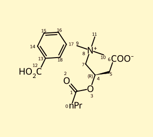 CCCC(=O)O[C@H](CC(=O)[O-])C[N+](C)(C)C.O=C(O)c1ccccc1